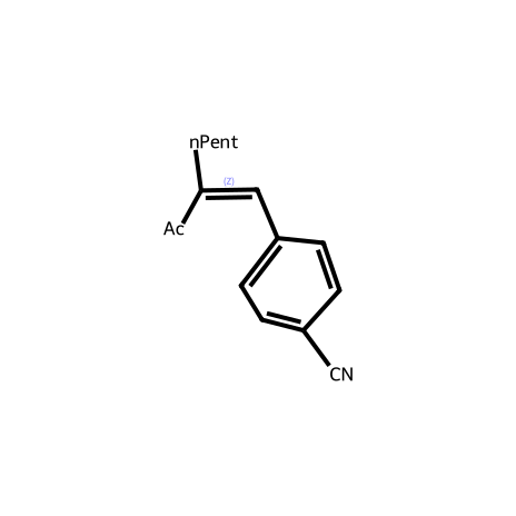 CCCCC/C(=C/c1ccc(C#N)cc1)C(C)=O